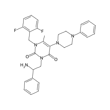 Cc1c(N2CCN(c3ccccc3)CC2)c(=O)n(CC(N)c2ccccc2)c(=O)n1Cc1c(F)cccc1F